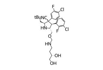 CC(C)(C)C[C@@H]1N[C@@H](COCNCC[C@H](O)CO)[C@H](c2cccc(Cl)c2F)[C@@]1(C#N)c1ccc(Cl)c(F)c1